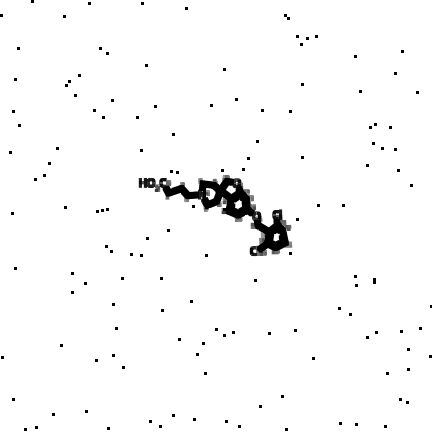 O=C(O)CCCN1CCC2(CC1)COc1cc(OCc3c(Cl)cccc3Cl)ccc12